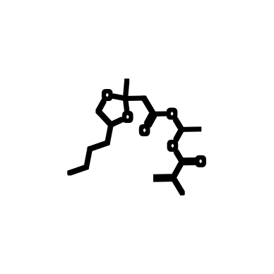 C=C(C)C(=O)OC(C)OC(=O)CC1(C)OCC(CCCC)O1